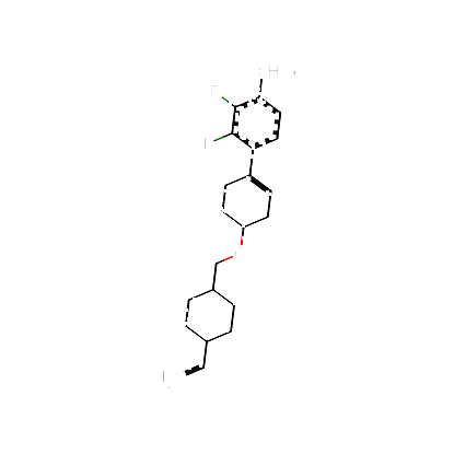 C=CC1CCC(COC2CC=C(c3ccc(CCCCCC)c(F)c3F)CC2)CC1